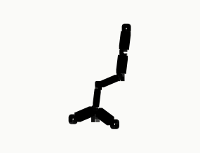 O=C=NS[SH](=O)=O